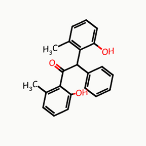 Cc1cccc(O)c1C(=O)C(c1ccccc1)c1c(C)cccc1O